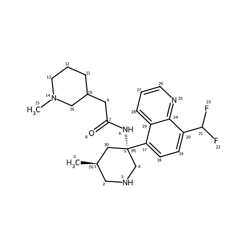 C[C@@H]1CNC[C@](NC(=O)CC2CCCN(C)C2)(c2ccc(C(F)F)c3ncccc23)C1